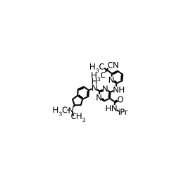 CC(C)NC(=O)c1cnc(Nc2ccc3c(c2)CC(N(C)C)C3)nc1Nc1cccc(C(C)(C)C#N)n1